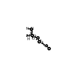 Cc1c(COc2cc(OCc3cncc(C#N)c3)c(CNC(C)C)cc2Cl)cccc1-c1cccc(OCCCN2CCC(c3ccccc3)C2)c1C